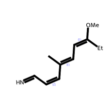 CC\C(=C/C=C(C)/C=C\C=N)OC